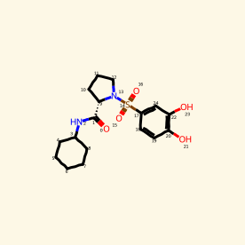 O=C(NC1CCCCC1)[C@@H]1CCCN1S(=O)(=O)c1ccc(O)c(O)c1